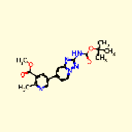 COC(=O)c1cc(-c2ccn3nc(NC(=O)OC(C)(C)C)nc3c2)cnc1C